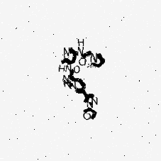 Cc1ncc(NC(=O)CN2CCC[C@@H]2C)cc1NC(=O)c1nnn2cc(-c3cnn(C4CCOC4)c3)ccc12